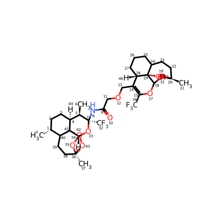 C[C@@H]1CC[C@H]2[C@@H](C)[C@](NC(=O)COCC3=C(C(F)(F)F)O[C@@H]4O[C@]5(C)CCC6CCC[C@@H]3[C@]64OO5)(C(F)(F)F)O[C@@H]3O[C@]4(C)CCC1[C@]32OO4